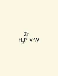 P.[V].[W].[Zr]